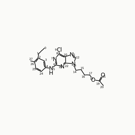 CCc1cc(Nc2nc(Cl)c3ncn(CCCCOC(C)=O)c3n2)ccc1C